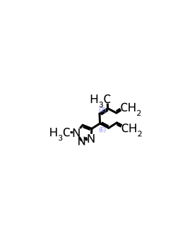 C=C/C=C(\C=C(\C)C=C)c1cn(C)nn1